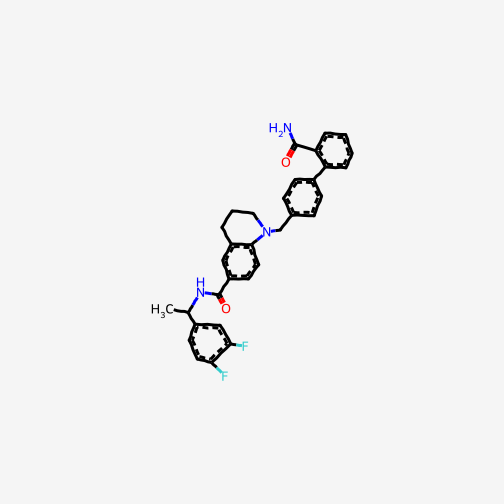 CC(NC(=O)c1ccc2c(c1)CCCN2Cc1ccc(-c2ccccc2C(N)=O)cc1)c1ccc(F)c(F)c1